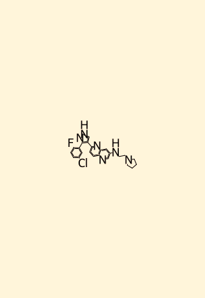 Fc1ccc(Cl)cc1-c1n[nH]cc1-c1ccc2ncc(NCCN3CCCC3)cc2n1